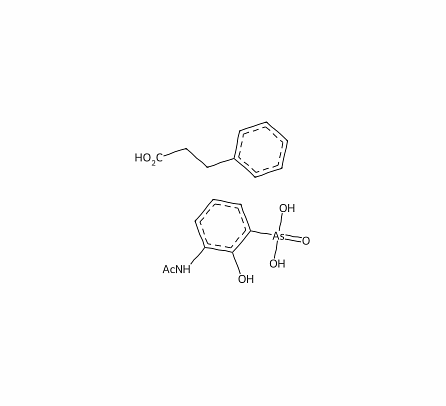 CC(=O)Nc1cccc([As](=O)(O)O)c1O.O=C(O)CCc1ccccc1